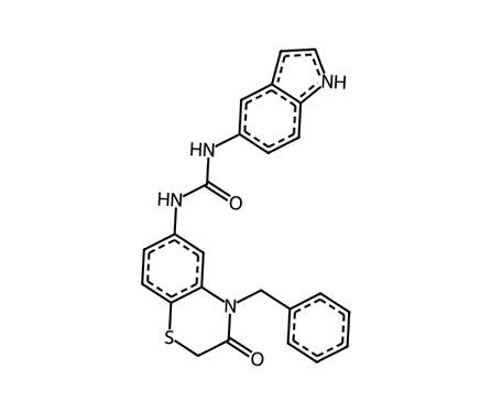 O=C(Nc1ccc2c(c1)N(Cc1ccccc1)C(=O)CS2)Nc1ccc2[nH]ccc2c1